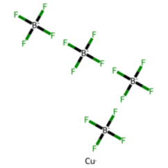 F[B-](F)(F)F.F[B-](F)(F)F.F[B-](F)(F)F.F[B-](F)(F)F.[Cu]